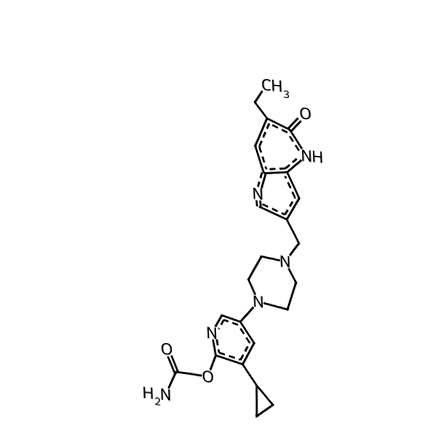 CCc1cc2ncc(CN3CCN(c4cnc(OC(N)=O)c(C5CC5)c4)CC3)cc2[nH]c1=O